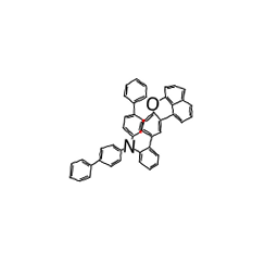 c1ccc(-c2ccc(N(c3ccc(-c4ccccc4)cc3)c3ccccc3-c3ccc4c(c3)-c3cccc5cccc(c35)O4)cc2)cc1